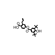 C=CCc1cc(OC(=O)c2cc(C(C)(C)C)c(O)c(C(C)(C)C)c2)ccc1C(=O)O